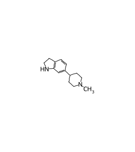 CN1CCC(c2ccc3c(c2)NCC3)CC1